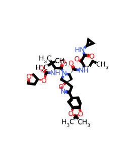 CCC[C@H](NC(=O)[C@@H]1C[C@]2(CC(c3ccc4c(c3)OC(C)(C)O4)=NO2)CN1C(=O)[C@@H](NC(=O)O[C@H]1CCOC1)C(C)(C)C)C(=O)C(=O)NC1CC1